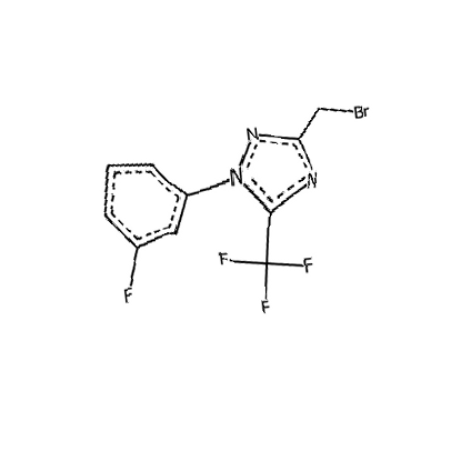 Fc1cccc(-n2nc(CBr)nc2C(F)(F)F)c1